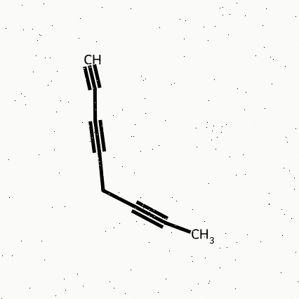 C#CC#CCC#CC